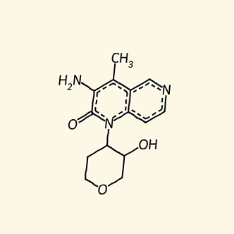 Cc1c(N)c(=O)n(C2CCOCC2O)c2ccncc12